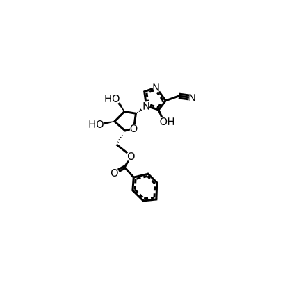 N#Cc1ncn([C@@H]2O[C@H](COC(=O)c3ccccc3)[C@@H](O)[C@H]2O)c1O